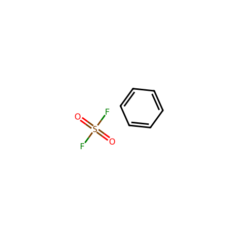 O=S(=O)(F)F.c1ccccc1